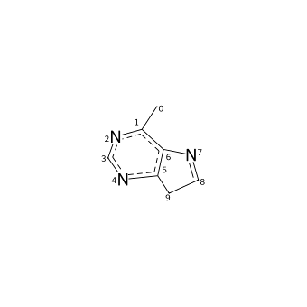 Cc1ncnc2c1N=CC2